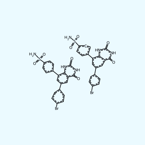 NS(=O)(=O)c1ccc(-c2cc(-c3ccc(Br)cc3)cc3c(=O)[nH]c(=O)[nH]c23)cc1.NS(=O)(=O)c1ccc(-c2cc(-c3ccc(Br)cc3)cc3c(=O)[nH]c(=O)[nH]c23)cc1